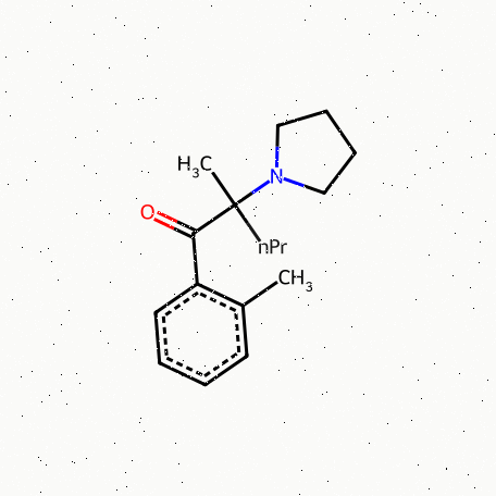 CCCC(C)(C(=O)c1ccccc1C)N1CCCC1